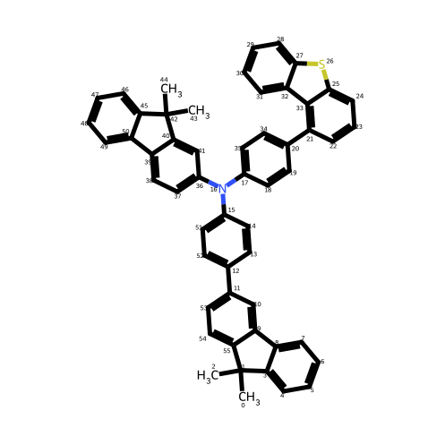 CC1(C)c2ccccc2-c2cc(-c3ccc(N(c4ccc(-c5cccc6sc7ccccc7c56)cc4)c4ccc5c(c4)C(C)(C)c4ccccc4-5)cc3)ccc21